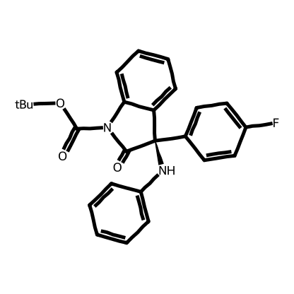 CC(C)(C)OC(=O)N1C(=O)[C@@](Nc2ccccc2)(c2ccc(F)cc2)c2ccccc21